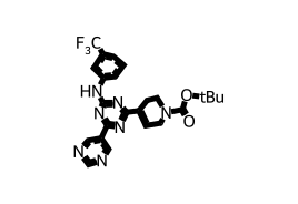 CC(C)(C)OC(=O)N1CC=C(c2nc(Nc3cccc(C(F)(F)F)c3)nc(-c3cncnc3)n2)CC1